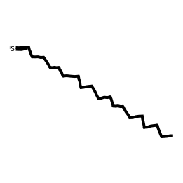 CCCCCCCCCCCCCCCCCCC=[Si]